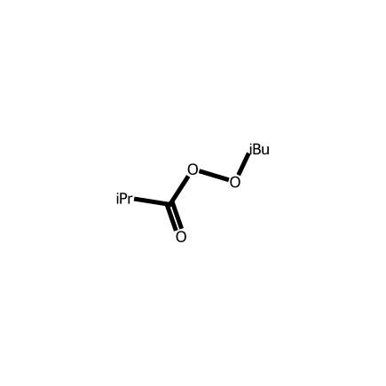 CCC(C)OOC(=O)C(C)C